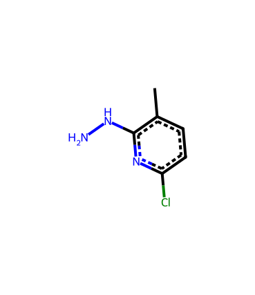 Cc1ccc(Cl)nc1NN